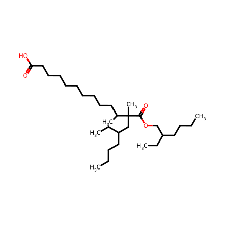 CCCCC(CC)COC(=O)C(C)(CC(CC)CCCC)C(C)CCCCCCCCCC(=O)O